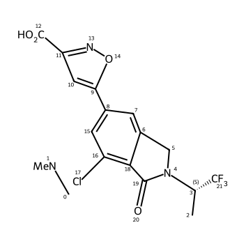 CNC.C[C@H](N1Cc2cc(-c3cc(C(=O)O)no3)cc(Cl)c2C1=O)C(F)(F)F